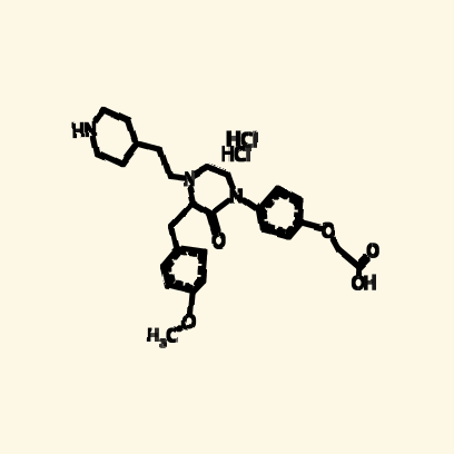 COc1ccc(CC2C(=O)N(c3ccc(OCC(=O)O)cc3)CCN2CCC2CCNCC2)cc1.Cl.Cl